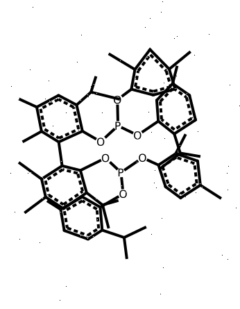 Cc1ccc(OP(Oc2cc(C)ccc2C(C)C)Oc2c(C(C)C)cc(C)c(C)c2-c2c(C)c(C)cc(C(C)C)c2OP(Oc2ccc(C)cc2C)Oc2cc(C)ccc2C(C)C)c(C)c1